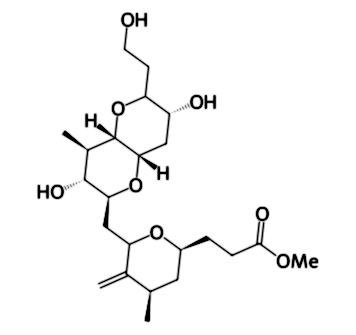 C=C1C(C[C@@H]2O[C@H]3C[C@@H](O)C(CCO)O[C@H]3[C@H](C)[C@H]2O)O[C@@H](CCC(=O)OC)C[C@H]1C